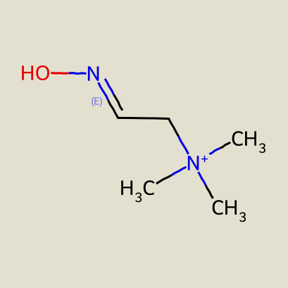 C[N+](C)(C)C/C=N/O